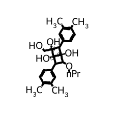 CCCOC1C(c2ccc(C)c(C)c2)[C@@]2(O)[C@]1(O)C(c1ccc(C)c(C)c1)[C@@]2(O)CO